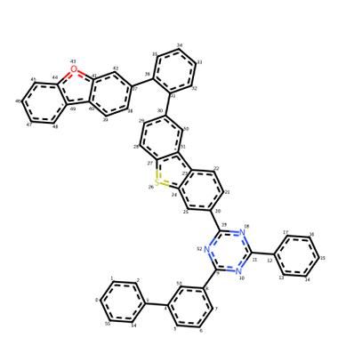 c1ccc(-c2cccc(-c3nc(-c4ccccc4)nc(-c4ccc5c(c4)sc4ccc(-c6ccccc6-c6ccc7c(c6)oc6ccccc67)cc45)n3)c2)cc1